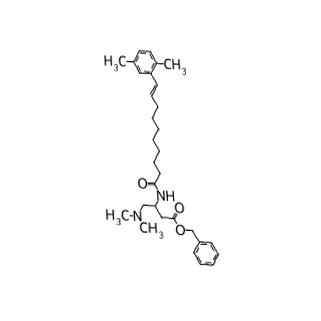 Cc1ccc(C)c(C=CCCCCCCCC(=O)NC(CC(=O)OCc2ccccc2)CN(C)C)c1